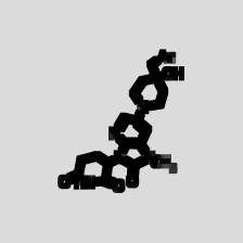 CC(=O)CC1(O)CCN(c2cnc3c(c2)n(C)c(=O)n3C2CCC(=O)NC2=O)CC1